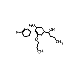 CCCOC1=C([C@H]2CC=C(F)CC2)[C@@H](O)C[C@@H]([C@@H](O)CCC)C1